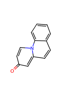 O=c1ccn2c(ccc3ccccc32)c1